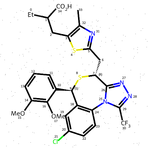 CCC(Cc1sc(C[C@H]2S[C@H](c3cccc(OC)c3OC)c3cc(Cl)ccc3-n3c2nnc3C(F)(F)F)nc1C)C(=O)O